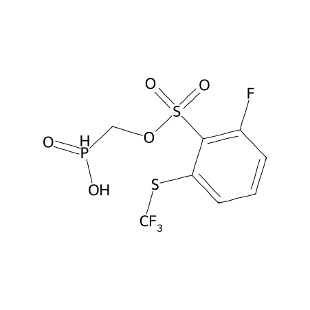 O=[PH](O)COS(=O)(=O)c1c(F)cccc1SC(F)(F)F